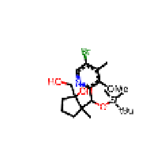 COc1c(C(O[Si](C)(C)C(C)(C)C)C2(C)CCCC2(O)CO)ncc(Br)c1C